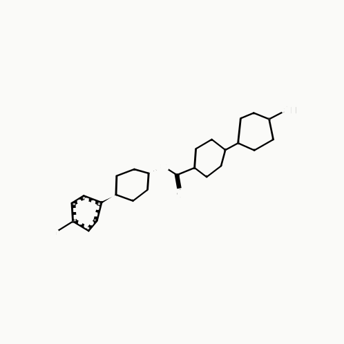 CC1CCC(C2CCC(C(=O)O[C@H]3CC[C@H](c4ccc(O)cc4)CC3)CC2)CC1